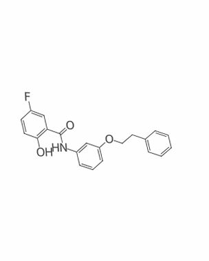 O=C(Nc1cccc(OCCc2ccccc2)c1)c1cc(F)ccc1O